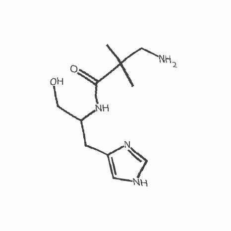 CC(C)(CN)C(=O)NC(CO)Cc1c[nH]cn1